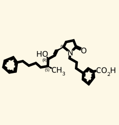 C[C@@H](CCCCc1ccccc1)[C@@H](O)C=C[C@H]1CCC(=O)N1CCCc1cccc(C(=O)O)c1